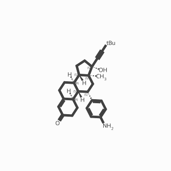 CC(C)(C)C#C[C@]1(O)CC[C@H]2[C@@H]3CCC4=CC(=O)CC[C@@H]4[C@H]3[C@@H](c3ccc(N)cc3)C[C@@]21C